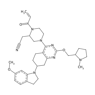 C=CC(=O)N1CCN(c2nc(OCC3CCCN3C)nc3c2CCC(N2CCc4ccc(OC)cc42)C3)CC1CC#N